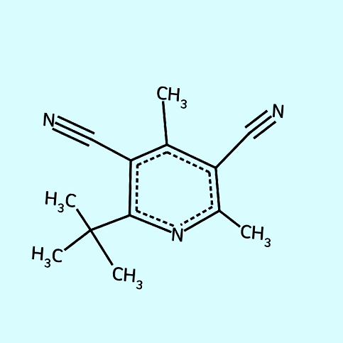 Cc1nc(C(C)(C)C)c(C#N)c(C)c1C#N